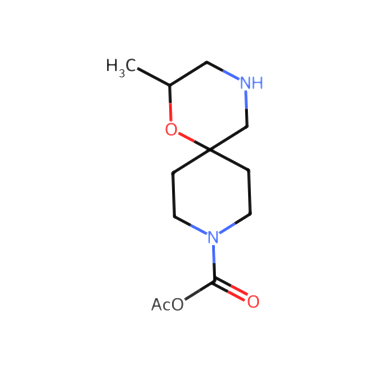 CC(=O)OC(=O)N1CCC2(CC1)CNCC(C)O2